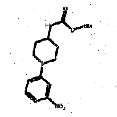 CC(C)(C)OC(=O)NC1CCN(c2cccc([N+](=O)[O-])c2)CC1